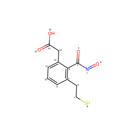 O=NC(=O)c1c(CCS)cccc1CC(=O)O